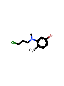 CN(CCCCl)c1cc(Br)ccc1[N+](=O)[O-]